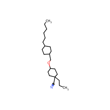 CCCCCCC1CCC(COC2CCC(C#N)(CCC)CC2)CC1